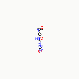 O=C(NC1CCN(c2ncc([N+](=O)[O-])cn2)CC1)c1ccc(-c2nccc3occc23)cc1